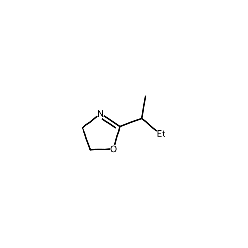 CCC(C)C1=NCCO1